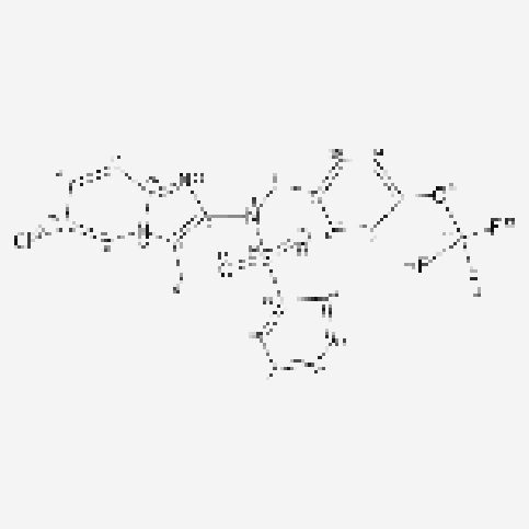 Cc1c(N(Cc2ccc(OC(F)(F)F)cc2)S(=O)(=O)c2ccccc2)nc2ccc(Cl)cn12